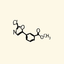 COC(=O)c1cccc(-c2cnc(Cl)o2)c1